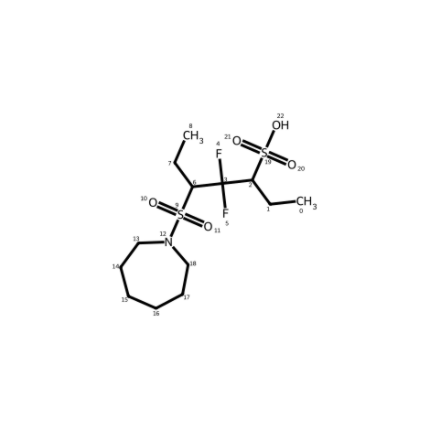 CCC(C(F)(F)C(CC)S(=O)(=O)N1CCCCCC1)S(=O)(=O)O